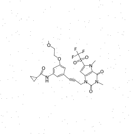 COCCOc1cc(C#CCn2c(=O)n(C)c(=O)c3c2cc(S(=O)(=O)C(F)(F)F)n3C)cc(NC(=O)C2CC2)c1